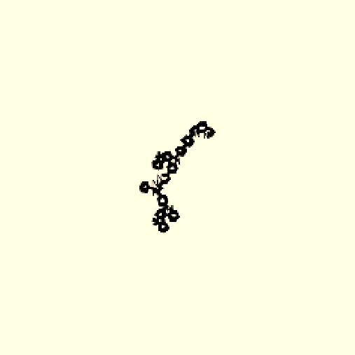 CC1(C)c2ccccc2-c2c1ccc1c(-c3ccc(-c4cc(-c5ccc(-c6ccc7nc(-c8ccc(-c9ccc(-c%10ccc%11ccc%12cccnc%12c%11n%10)cc9)cc8)c8ccc9c(c8c7c6)-c6ccccc6C9(C)C)cn5)nc(-c5ccccc5)n4)cc3)nc3ccccc3c21